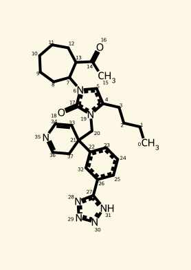 CCCCc1cn(C2CCCCCC2C(C)=O)c(=O)n1CC1(c2cccc(-c3nnn[nH]3)c2)C=CN=CC1